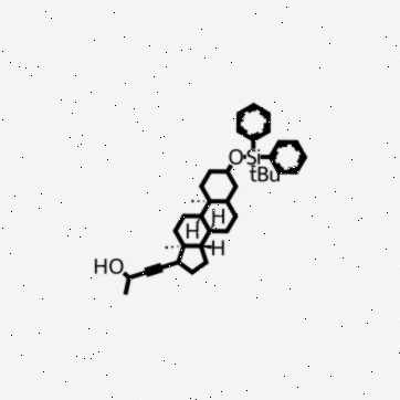 CC(O)C#CC1CC[C@H]2[C@@H]3CCC4CC(O[Si](c5ccccc5)(c5ccccc5)C(C)(C)C)CC[C@]4(C)[C@@H]3CC[C@]12C